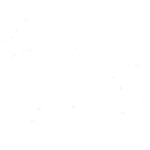 CCc1cc(CCC(=O)OCC(COC(=O)CCc2cc(C(C)(C)C)c(OC(=O)OC(C)(C)C)c(C(C)(C)C)c2)(COC(=O)CCc2cc(C(C)(C)C)c(OC(=O)OC(C)(C)C)c(C(C)(C)C)c2)OCC(=O)CCc2cc(C(C)(C)C)c(OC(=O)OC(C)(C)C)c(C(C)(C)C)c2)cc(C(C)(C)C)c1OC(=O)OC(C)(C)C